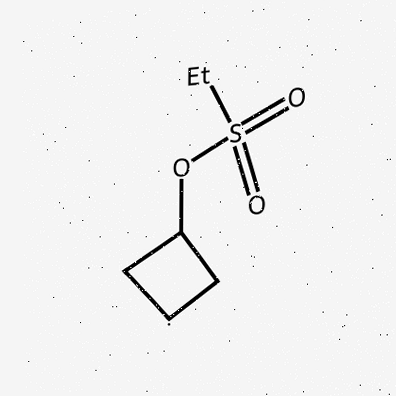 CCS(=O)(=O)OC1C[CH]C1